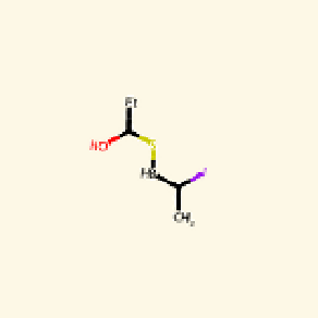 CCC(O)SBC(C)I